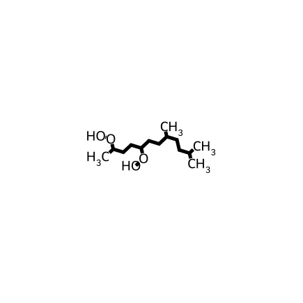 CC(C)CCC(C)CCC(CCC(C)OO)OO